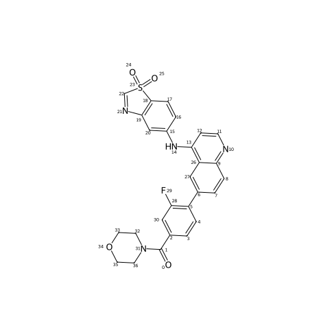 O=C(c1ccc(-c2ccc3nccc(Nc4ccc5c(c4)N=CS5(=O)=O)c3c2)c(F)c1)N1CCOCC1